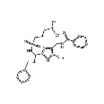 CCN(CC)CCCS(=O)(=O)N[C@H](CCc1ccccc1)c1nc(CNC(=O)c2ccccn2)n(C)n1